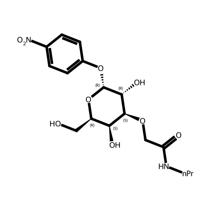 CCCNC(=O)CO[C@H]1[C@@H](O)[C@@H](CO)O[C@H](Oc2ccc([N+](=O)[O-])cc2)[C@@H]1O